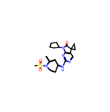 CC1CC(Nc2ncc3c(n2)N(C2CCCC2)C(=O)C32CC2)CCN1S(C)(=O)=O